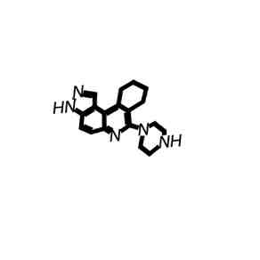 c1cc2[nH]ncc2c2c3c(c(N4CCNCC4)nc12)CCCC3